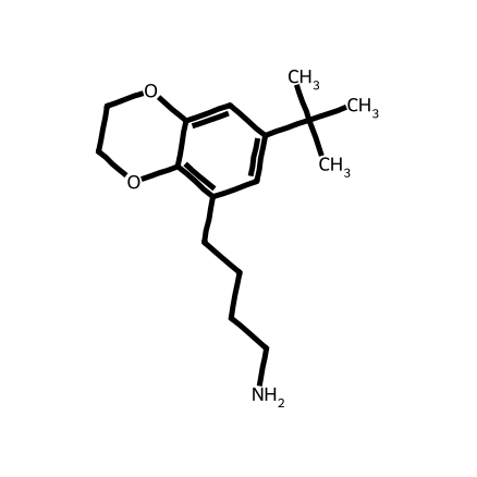 CC(C)(C)c1cc(CCCCN)c2c(c1)OCCO2